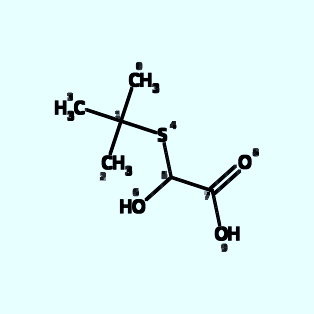 CC(C)(C)SC(O)C(=O)O